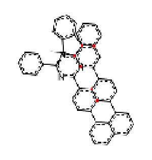 CC1(C)c2ccccc2-c2ccc(-c3ccc(-c4cccc5cccc(-c6ccc(-c7nc(-c8ccccc8)nc(-c8ccccc8)n7)cc6)c45)cc3)cc21